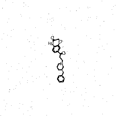 O=C1COc2cc(C(=O)CCN3CCC[C@H](Cc4ccccc4)C3)ccc2N1